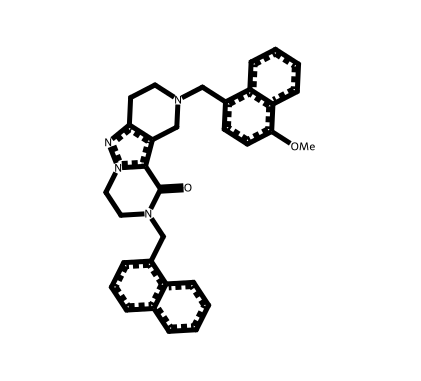 COc1ccc(CN2CCc3nn4c(c3C2)C(=O)N(Cc2cccc3ccccc23)CC4)c2ccccc12